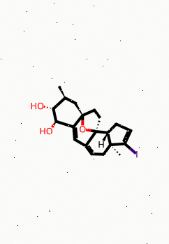 C[C@H]1C[C@@]23CC[C@@]4(O2)C(=CC[C@]2(C)C(I)=CC[C@H]24)C=C3[C@@H](O)[C@@H]1O